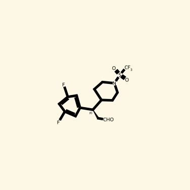 O=CC[C@@H](c1cc(F)cc(F)c1)C1CCN(S(=O)(=O)C(F)(F)F)CC1